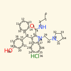 CCCNC(=O)c1c(C(c2ccccc2)c2ccc(O)cc2)c2ccccc2n1CCN1CCCC1.Cl